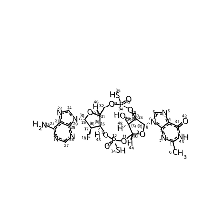 Cc1nc2c(ncn2[C@@H]2O[C@@H]3OP(=O)(S)O[C@H]4[C@@H](F)[C@H](n5cnc6c(N)ncnc65)O[C@@H]4COP(=O)(S)O[C@@H]2[C@@H]3O)c(=O)[nH]1